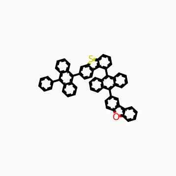 c1ccc(-c2c3ccccc3c(-c3ccc4c(c3)sc3cccc(-c5c6ccccc6c(-c6ccc7oc8ccccc8c7c6)c6ccccc56)c34)c3ccccc23)cc1